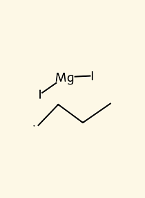 [CH2]CCC.[I][Mg][I]